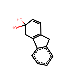 OC1(O)C=CC2=C(C1)c1ccccc1C2